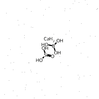 O=[Si](O)O.OB(O)O.[CaH2]